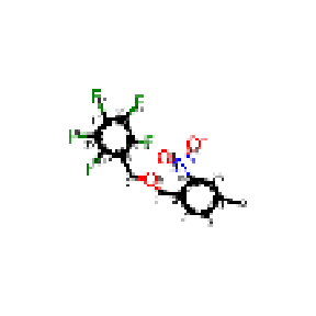 Cc1ccc(COCc2c(F)c(F)c(F)c(F)c2F)c([N+](=O)[O-])c1